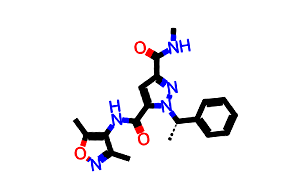 CNC(=O)c1cc(C(=O)Nc2c(C)noc2C)n([C@@H](C)c2ccccc2)n1